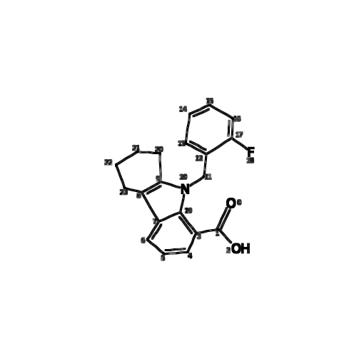 O=C(O)c1cccc2c3c(n(Cc4ccccc4F)c12)CCCC3